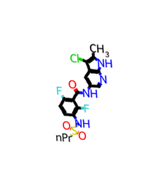 CCCS(=O)(=O)Nc1ccc(F)c(C(=O)Nc2cnc3[nH]c(C)c(Cl)c3c2)c1F